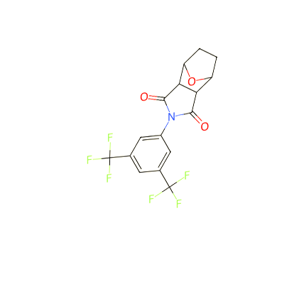 O=C1C2C3CCC(O3)C2C(=O)N1c1cc(C(F)(F)F)cc(C(F)(F)F)c1